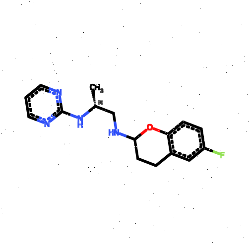 C[C@H](CNC1CCc2cc(F)ccc2O1)Nc1ncccn1